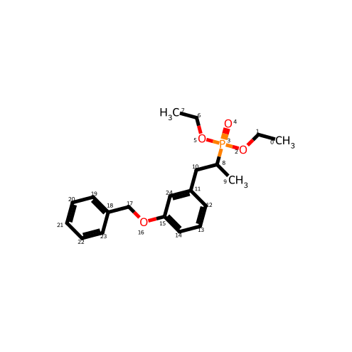 CCOP(=O)(OCC)C(C)Cc1cccc(OCc2ccccc2)c1